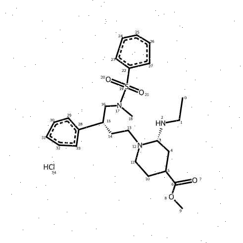 CCN[C@@H]1CC(C(=O)OC)CCN1CC[C@@H](CN(C)S(=O)(=O)c1ccccc1)c1ccccc1.Cl